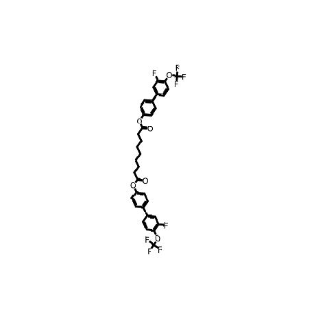 O=C(CCCCCCCC(=O)Oc1ccc(-c2ccc(OC(F)(F)F)c(F)c2)cc1)Oc1ccc(-c2ccc(OC(F)(F)F)c(F)c2)cc1